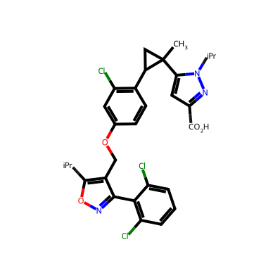 CC(C)c1onc(-c2c(Cl)cccc2Cl)c1COc1ccc(C2CC2(C)c2cc(C(=O)O)nn2C(C)C)c(Cl)c1